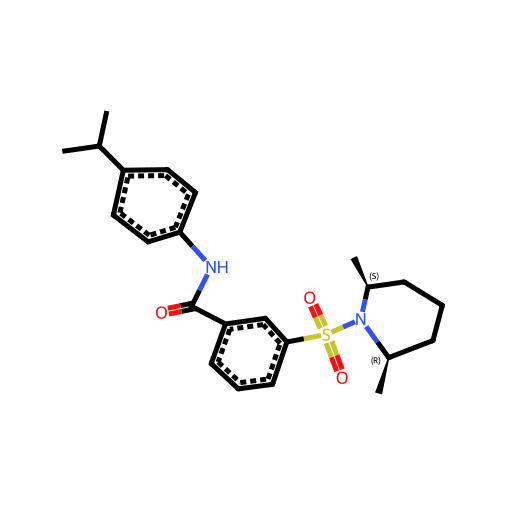 CC(C)c1ccc(NC(=O)c2cccc(S(=O)(=O)N3[C@H](C)CCC[C@@H]3C)c2)cc1